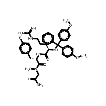 COc1ccc(C(N[C@H](CCCNC(=N)N)C(=O)N[C@@H](Cc2ccc(F)cc2)C(=O)N(C)CC(N)=O)(c2ccccc2)c2ccc(OC)cc2)cc1